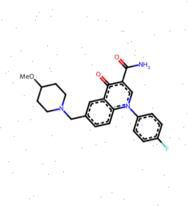 COC1CCN(Cc2ccc3c(c2)c(=O)c(C(N)=O)cn3-c2ccc(F)cc2)CC1